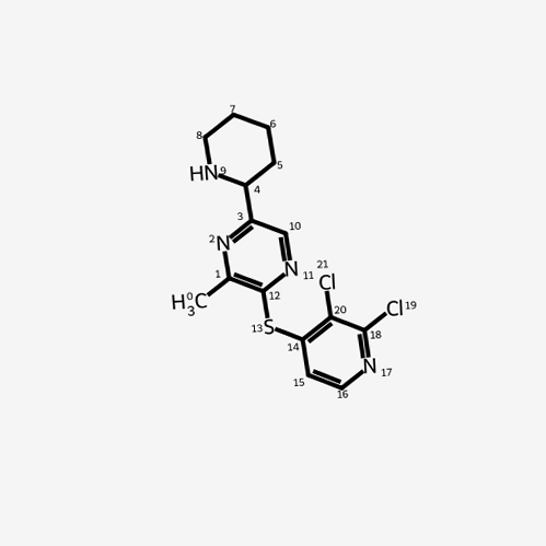 Cc1nc(C2CCCCN2)cnc1Sc1ccnc(Cl)c1Cl